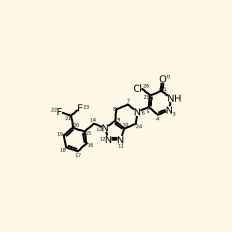 O=c1[nH]ncc(N2CCc3c(nnn3Cc3ccccc3C(F)F)C2)c1Cl